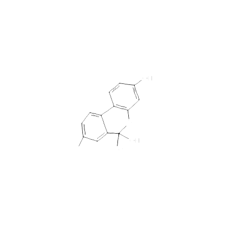 CC(C)C1(O)Oc2cc(O)ccc2-c2ccc(F)cc21